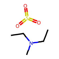 CCN(C)CC.O=S(=O)=O